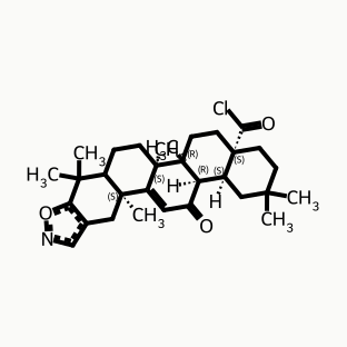 CC1(C)CC[C@]2(C(=O)Cl)CC[C@]3(C)[C@H](C(=O)C=C4[C@@]5(C)Cc6cnoc6C(C)(C)C5CC[C@]43C)[C@@H]2C1